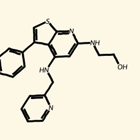 OCCNc1cc(NCc2ccccn2)c2c(-c3ccccc3)csc2n1